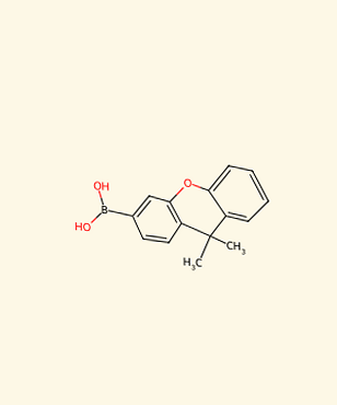 CC1(C)c2ccccc2Oc2cc(B(O)O)ccc21